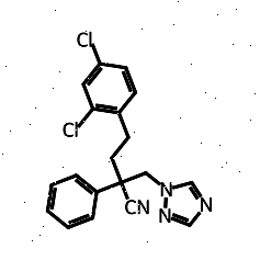 N#CC(CCc1ccc(Cl)cc1Cl)(Cn1cncn1)c1ccccc1